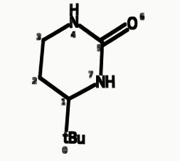 CC(C)(C)C1CCNC(=O)N1